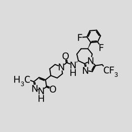 Cc1cc(C2CCN(C(=O)N[C@@H]3CC[C@@H](c4c(F)cccc4F)Cn4c(CC(F)(F)F)cnc43)CC2)c(=O)[nH]n1